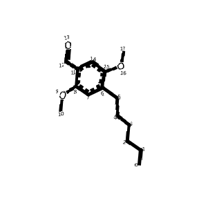 CCCCCCc1cc(OC)c(C=O)cc1OC